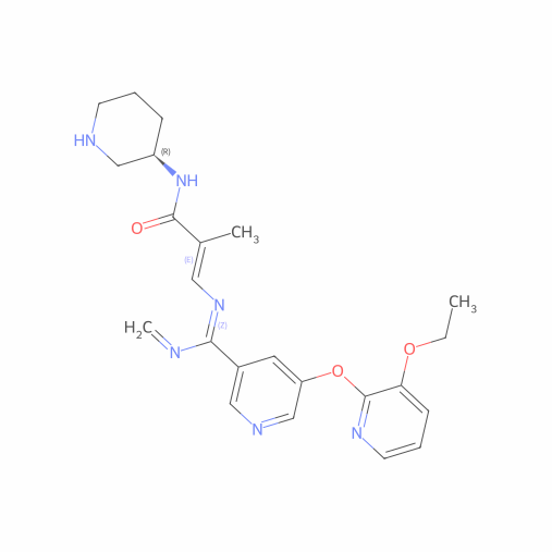 C=N/C(=N\C=C(/C)C(=O)N[C@@H]1CCCNC1)c1cncc(Oc2ncccc2OCC)c1